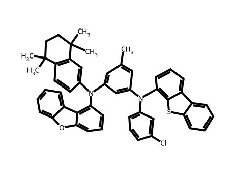 Cc1cc(N(c2cccc(Cl)c2)c2cccc3c2sc2ccccc23)cc(N(c2ccc3c(c2)C(C)(C)CCC3(C)C)c2cccc3oc4ccccc4c23)c1